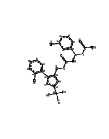 O=C(O)CC(NC(=O)COc1cc(C(F)(F)F)nn1-c1ccccc1Cl)c1cccc(Cl)c1